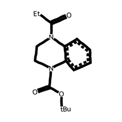 CCC(=O)N1CCN(C(=O)OC(C)(C)C)c2ccccc21